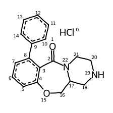 Cl.O=C1c2c(cccc2-c2ccccc2)OCC2CNCCN12